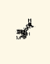 C=Cc1n[nH]c2ccc(OCc3cc(N4CCOCC4)cc(Nc4ncc(C#N)s4)n3)cc12